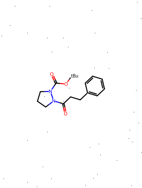 CC(C)(C)OC(=O)N1CCCN1C(=O)CCc1ccccc1